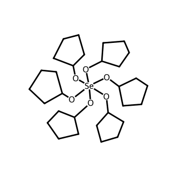 C1CCC(O[Se](OC2CCCC2)(OC2CCCC2)(OC2CCCC2)(OC2CCCC2)OC2CCCC2)C1